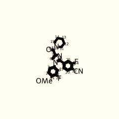 COc1ccc(-n2cc(C(=O)N3CCCCC3)nc2-c2ccc(C#N)c(F)c2)cc1F